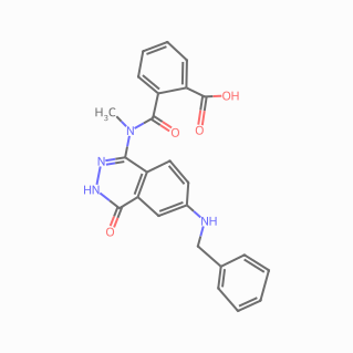 CN(C(=O)c1ccccc1C(=O)O)c1n[nH]c(=O)c2cc(NCc3ccccc3)ccc12